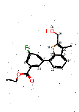 CCOC(=O)c1cc(F)cc(-c2cccc3c(C)c(CO)sc23)c1